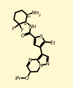 CCc1sc(C(=O)N[C@@H]2[C@H](N)CCCC2(F)F)cc1-c1cnn2c1N=CC(OC(C)C)C2